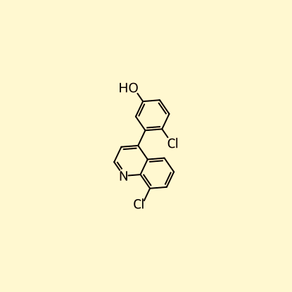 Oc1ccc(Cl)c(-c2ccnc3c(Cl)cccc23)c1